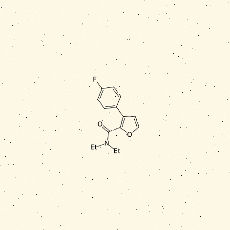 CCN(CC)C(=O)c1occc1-c1ccc(F)cc1